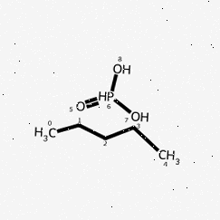 CCCCC.O=[PH](O)O